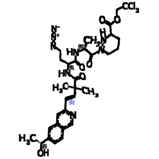 C[C@H](NC(=O)[C@H](CCN=[N+]=[N-])NC(=O)C(C)(C)/C=C/c1cc2cc([C@@H](C)O)ccc2cn1)C(=O)N1CCCC(C(=O)OCC(Cl)(Cl)Cl)N1